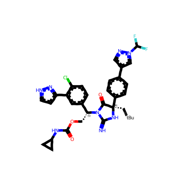 CC(C)(C)C[C@]1(c2ccc(-c3cnn(C(F)F)c3)cc2)NC(=N)N([C@H](COC(=O)NC2CC2)c2ccc(Cl)c(-c3cc[nH]n3)c2)C1=O